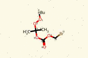 CCCCOOC(C)(C)OC(=O)OCBr